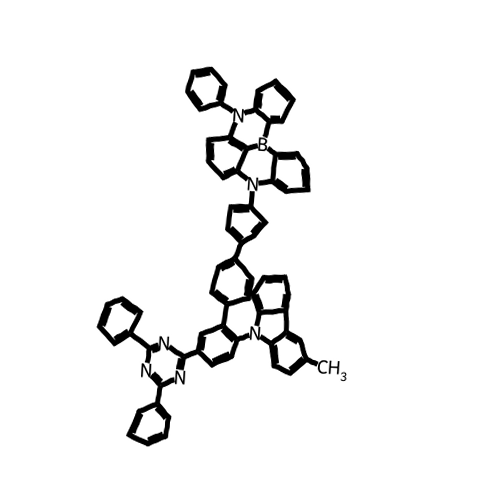 Cc1ccc2c(c1)c1ccccc1n2-c1ccc(-c2nc(-c3ccccc3)nc(-c3ccccc3)n2)cc1-c1ccc(-c2ccc(N3c4ccccc4B4c5ccccc5N(c5ccccc5)c5cccc3c54)cc2)cc1